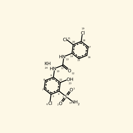 NS(=O)(=O)c1c(Cl)ccc(NC(=O)Nc2cccc(Cl)c2Cl)c1O.[KH]